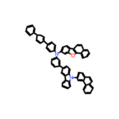 C1=CC(c2ccccc2)CC=C1c1ccc(N(c2cccc(-c3ccc4c(c3)c3ccccc3n4-c3ccc4ccc5ccccc5c4c3)c2)c2ccc3c(c2)oc2c4ccccc4ccc32)cc1